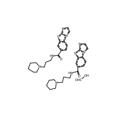 O=C(NCCCN1CCCCC1)c1ccc2c(c1)sc1nccn12.O=C(NCCCN1CCCCC1)c1ccc2c(c1)sc1nccn12.O=CO